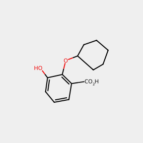 O=C(O)c1cccc(O)c1OC1CCCCC1